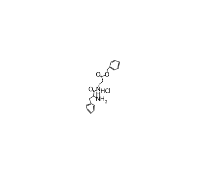 Cl.NC(Cc1ccccc1)C(=O)NCCC(=O)OCc1ccccc1